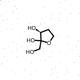 OCC1(O)OCC[C@@H]1O